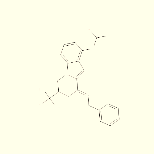 CC(C)(C)C1CC(=NCc2ccccc2)c2cc3c(OC(F)F)cccc3n2C1